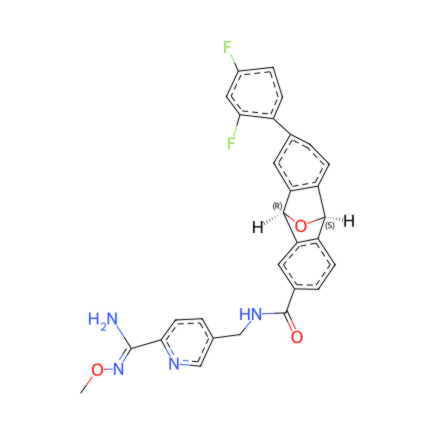 CON=C(N)c1ccc(CNC(=O)c2ccc3c(c2)[C@@H]2O[C@H]3c3ccc(-c4ccc(F)cc4F)cc32)cn1